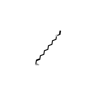 C=COCCCCCCCCC=CCCCC